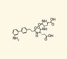 NC(=O)C(CCC(=O)O)NC(=O)[C@H](CCC(=O)O)NC(=O)CCc1ccc(-c2cccc(N)c2)cc1